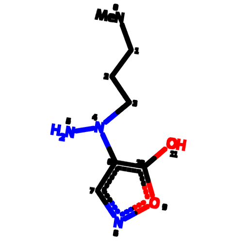 CNCCCN(N)c1cnoc1O